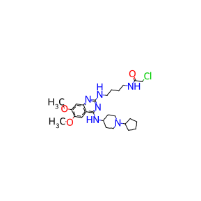 COc1cc2nc(NCCCCNC(=O)CCl)nc(NC3CCN(C4CCCC4)CC3)c2cc1OC